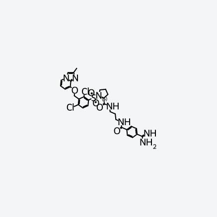 Cc1cn2cccc(OCc3c(Cl)ccc(S(=O)(=O)N4CCC[C@H]4C(=O)NCCCNC(=O)c4ccc(C(=N)N)cc4)c3Cl)c2n1